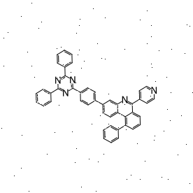 c1ccc(-c2nc(-c3ccccc3)nc(-c3ccc(-c4ccc5c(c4)nc(-c4ccncc4)c4cccc(-c6ccccc6)c45)cc3)n2)cc1